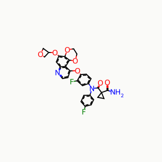 NC(=O)C1(C(=O)N(c2ccc(F)cc2)c2ccc(Oc3ccnc4cc(OC5COC5)c5c(c34)OCCO5)c(F)c2)CC1